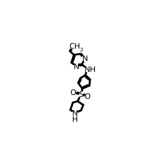 C=Cc1cnc(Nc2ccc(S(=O)(=O)C3CCNCC3)cc2)nc1